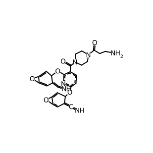 N=C=C1C=C2OC2=CC1Oc1ccc(C(=O)N2CCN(C(=O)CCN)CC2)c(OC2C=C3OC3=CC2=C=N)n1